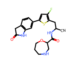 N#CC(Cc1sc(-c2ccc3c(c2)NC(=O)C3)cc1F)NC(=O)C1CNCCCO1